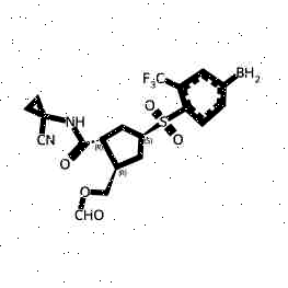 Bc1ccc(S(=O)(=O)[C@H]2C[C@@H](COC=O)[C@H](C(=O)NC3(C#N)CC3)C2)c(C(F)(F)F)c1